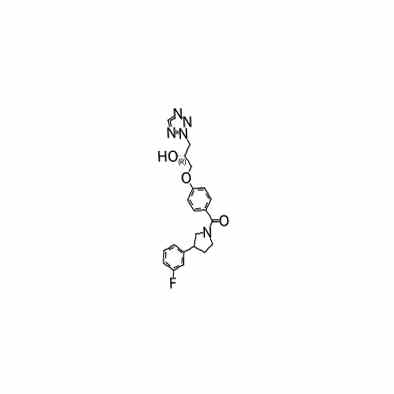 O=C(c1ccc(OC[C@H](O)Cn2ncnn2)cc1)N1CCC(c2cccc(F)c2)C1